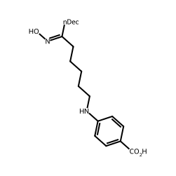 CCCCCCCCCCC(CCCCCNc1ccc(C(=O)O)cc1)=NO